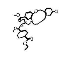 CCOC(=O)C1CC=C([C@@H](OC)[C@@H]2CC[C@H]2CN2CCCCc3cc(Cl)ccc3COc3ccc(C(=O)OC)cc32)CC1